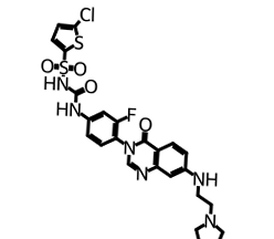 O=C(Nc1ccc(-n2cnc3cc(NCCN4CCCC4)ccc3c2=O)c(F)c1)NS(=O)(=O)c1ccc(Cl)s1